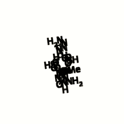 CO[C@H]1[C@H]2O[P@@](=O)(S)OC[C@H]3C[C@@H](n4ccc5c(N)ncnc54)C[C@@H]3OP(=O)(S)OC[C@H]1O[C@H]2n1cnc2c(=O)[nH]c(N)nc21